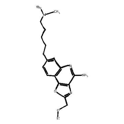 CCOCc1nc2c(N)nc3cc(CCCCCN(C)C(C)(C)C)ccc3c2o1